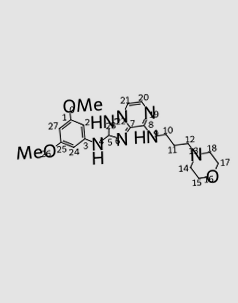 COc1cc(NC2N=C3C(NCCCN4CCOCC4)=NC=CN3N2)cc(OC)c1